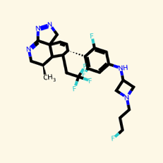 C[C@H]1CN=C2N=NCC23C=C[C@H](c2c(F)cc(NC4CN(CCCF)C4)cc2F)C(CC(F)(F)F)C13